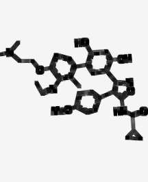 C/C=N\c1c(OCCN(C)C)ccc(-c2cc(-c3noc(NC(=O)C4CC4)c3-c3ccc(OC)cc3)c(O)cc2O)c1C